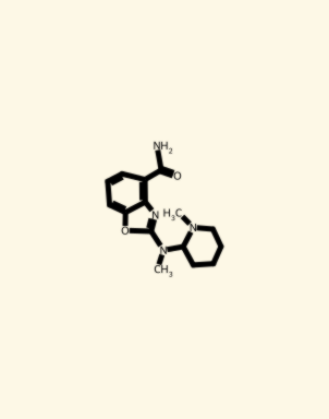 CN1CCCCC1N(C)c1nc2c(C(N)=O)[c]ccc2o1